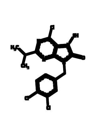 CC(C)c1nc(Cl)c2c(n1)n(Cc1ccc(Cl)c(Cl)c1)c(=O)n2S